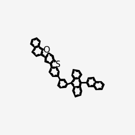 c1cc(-c2ccc3c(c2)sc2cc4oc5c6ccccc6ccc5c4cc23)cc(-c2c3ccccc3c(-c3ccc4ccccc4c3)c3ccccc23)c1